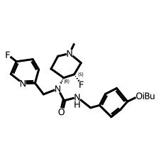 CC(C)COc1ccc(CNC(=O)N(Cc2ccc(F)cn2)[C@@H]2CCN(C)C[C@@H]2F)cc1